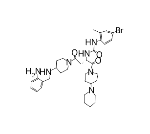 Cc1cc(Br)ccc1NC(=O)N[C@@H](CC(=O)N1CCC(NCc2ccccc2N)CC1)C(=O)N1CCC(N2CCCCC2)CC1